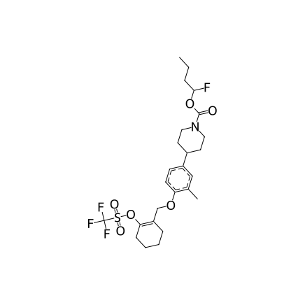 CCCC(F)OC(=O)N1CCC(c2ccc(OCC3=C(OS(=O)(=O)C(F)(F)F)CCCC3)c(C)c2)CC1